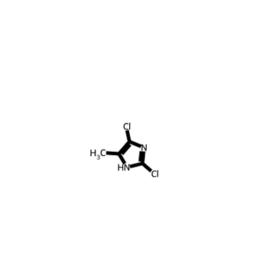 Cc1[nH]c(Cl)nc1Cl